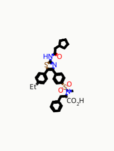 CCc1ccc(-c2sc(NC(=O)CC3CCCC3)nc2-c2ccc(S(=O)(=O)N(C)C(Cc3ccccc3)C(=O)O)cc2)cc1